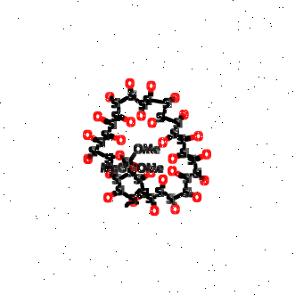 CO[Si](OC)(OC)O[SiH2][Si](=O)[Si](=O)[Si](=O)[Si](=O)[Si](=O)[Si](=O)[Si](=O)[Si](=O)[Si](=O)[Si](=O)[Si](=O)[Si](=O)[Si](=O)[Si](=O)[Si](=O)[Si](=O)[Si](=O)[Si](=O)[Si](=O)[Si](=O)[Si](=O)[Si](=O)[Si](=O)[Si](=O)[Si](=O)[Si](=O)[Si](=O)[Si](C)(C)C